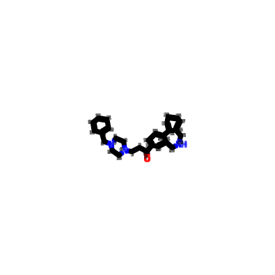 O=C(CCN1CCN(Cc2ccccc2)CC1)c1ccc2c(c1)CNCc1ccccc1-2